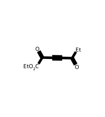 CCOC(=O)C(=O)C#CC(=O)CC